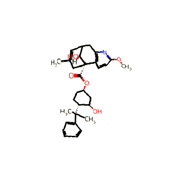 COc1ccc2c(n1)CC1C=C(C)C[C@@]2(C(=O)O[C@@H]2CC[C@@H](C(C)(C)c3ccccc3)[C@H](O)C2)[C@H]1O